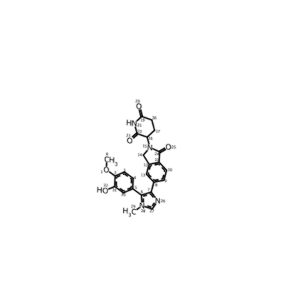 COc1ccc(-c2c(-c3ccc4c(c3)CN(C3CCC(=O)NC3=O)C4=O)ncn2C)cc1O